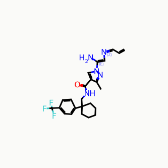 C=C/C=N\C=C(/N)n1cc(C(=O)NCC2(c3ccc(C(F)(F)F)cc3)CCCCC2)c(C)n1